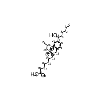 CCCCCC(O)c1ccc(CN(CCCCCCC(=O)O)S(=O)(=O)CCC)cc1